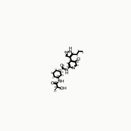 CCCc1[nH]ncc1-c1cc(NC(=O)[C@H]2CCC[C@@H](NC(=O)[C@H](C)O)C2)ncc1Cl